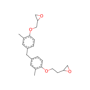 Cc1cc(Cc2ccc(OCC3CO3)c(C)c2)ccc1OCCC1CO1